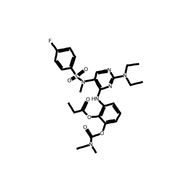 CCC(=O)Oc1c(Nc2nc(N(CC)CC)ncc2N(C)S(=O)(=O)c2ccc(F)cc2)cccc1OC(=O)N(C)C